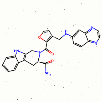 NC(=O)[C@H]1Cc2c([nH]c3ccccc23)CN1C(=O)c1occc1CNc1ccc2nccnc2c1